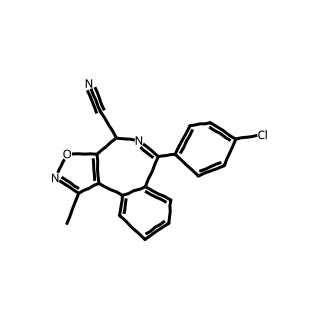 Cc1noc2c1-c1ccccc1C(c1ccc(Cl)cc1)=NC2C#N